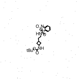 CC(C)(C)OC(=O)NC1CC(CCNS(=O)(=O)c2ccccc2[N+](=O)[O-])C1